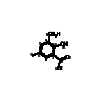 CCC(=O)c1cc(C)cc(C(=O)O)c1O